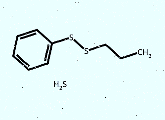 CCCSSc1ccccc1.S